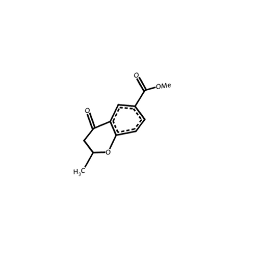 COC(=O)c1ccc2c(c1)C(=O)CC(C)O2